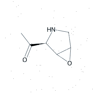 CC(=O)[C@H]1NCC2OC21